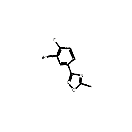 Cc1nc(-c2ccc(F)c(C(C)C)c2)no1